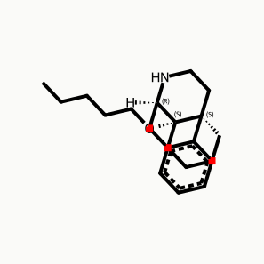 CCCCCO[C@@]12CCCC[C@@]13CCN[C@@H]2Cc1ccccc13